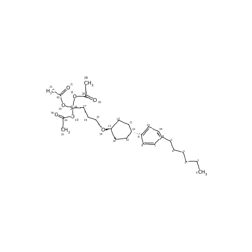 CCCCCCc1ccc([C@H]2CC[C@H](OCCC[Si](OC(C)=O)(OC(C)=O)OC(C)=O)CC2)cc1